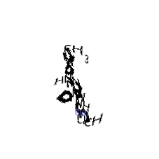 C#C/C=C\C(Cl)=C/CNc1nc2cnc(Nc3ccc(N4CCN(C)CC4)cc3)nc2n1C1CCCC1